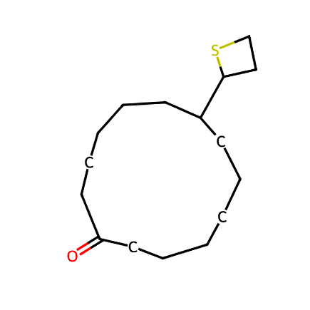 O=C1CCCCCCC(C2CCS2)CCCCC1